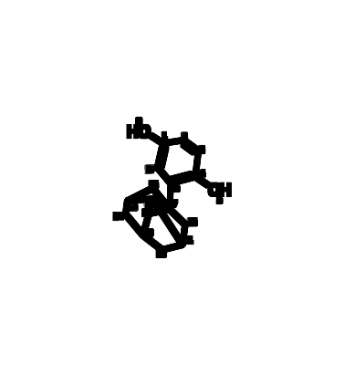 Oc1ccc(O)c(C23CC4CC(CC(C4)C2)C3)c1